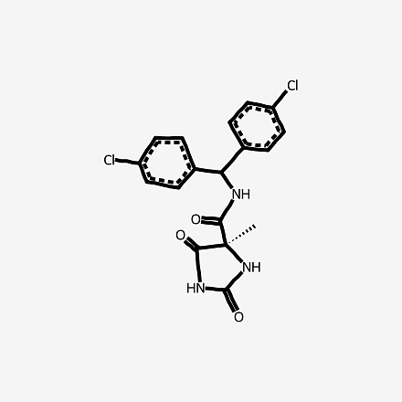 C[C@]1(C(=O)NC(c2ccc(Cl)cc2)c2ccc(Cl)cc2)NC(=O)NC1=O